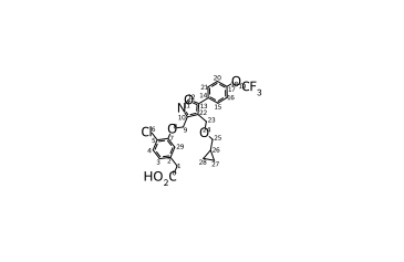 O=C(O)Cc1ccc(Cl)c(OCc2noc(-c3ccc(OC(F)(F)F)cc3)c2COCC2CC2)c1